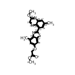 COC(=O)COc1cc(C)c2nc(-c3cc(C)cc4nc(OC)cnc34)sc2c1